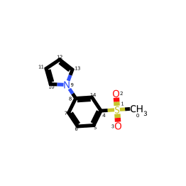 CS(=O)(=O)c1cccc(-n2cccc2)c1